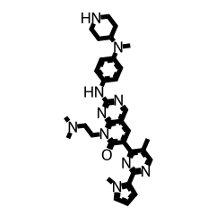 Cc1cnc(-c2cccn2C)nc1-c1cc2cnc(Nc3ccc(N(C)C4CCNCC4)cc3)nc2n(CCN(C)C)c1=O